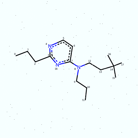 CCCc1nccc(N(CCC)CCC(C)(C)C)n1